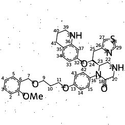 COc1ccccc1COCCCOc1ccc(N2C(=O)CNC[C@@H]2C(Cc2cscn2)Oc2ccc3c(c2)NCCC3)cc1